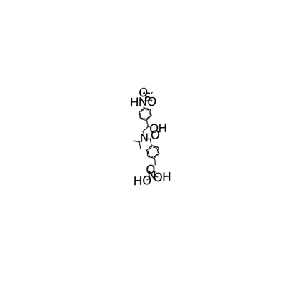 CC(C)N(CC(O)c1ccc(NS(C)(=O)=O)cc1)C(=O)c1ccc(CON(O)O)cc1